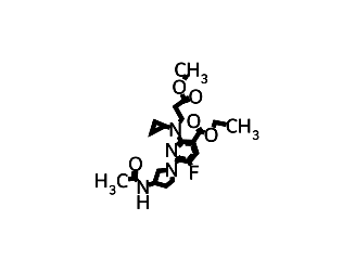 CCOC(=O)CCN(c1nc(N2CCC(NC(C)=O)C2)c(F)cc1C(=O)OCC)C1CC1